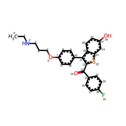 CCNCCCOc1ccc(-c2c(C(=O)c3ccc(F)cc3)sc3cc(O)ccc23)cc1